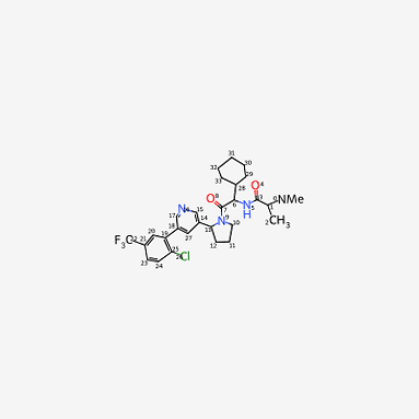 CNC(C)C(=O)NC(C(=O)N1CCCC1c1cncc(-c2cc(C(F)(F)F)ccc2Cl)c1)C1CCCCC1